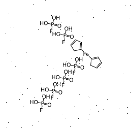 C1=CC[C]([Fe][C]2=CC=CC2)=C1.O=P(O)(O)F.O=P(O)(O)F.O=P(O)(O)F.O=P(O)(O)F.O=P(O)(O)F.O=P(O)(O)F